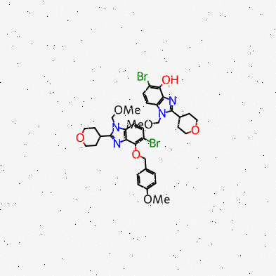 COCn1c(C2CCOCC2)nc2c(O)c(Br)ccc21.COCn1c(C2CCOCC2)nc2c(OCc3ccc(OC)cc3)c(Br)ccc21